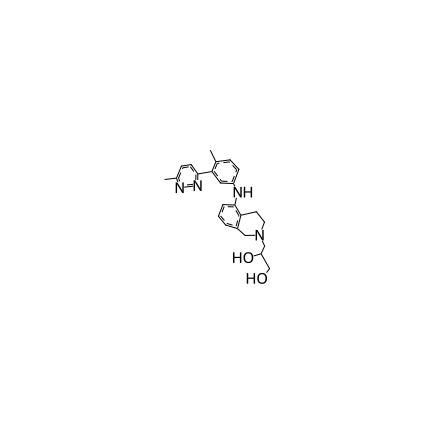 Cc1ccc(-c2cc(Nc3cccc4c3CCN(CC(O)CO)C4)ccc2C)nn1